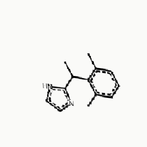 Cc1cccc(C)c1C(C)c1ncc[nH]1